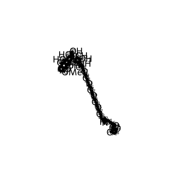 COc1cccc2c1C(=O)c1c(O)c3c(c(O)c1C2=O)C[C@@](O)(C(=O)CO)C[C@@H]3OC1C[C@H](NC(=O)CCOCCOCCOCCOCCOCCOCCOCCOCCn2cc(CCCC(=O)ON3C(=O)CCC3=O)nn2)[C@H](O)[C@@H](C)O1